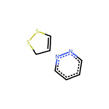 C1=CSSC1.c1ccnnc1